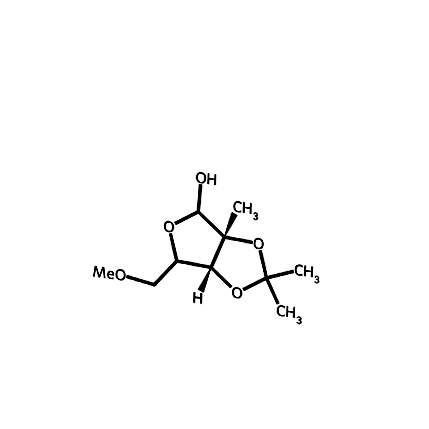 COCC1OC(O)[C@]2(C)OC(C)(C)O[C@H]12